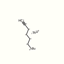 C#CCCCCCCCC.[Th].[U]